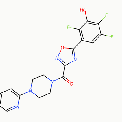 O=C(c1noc(-c2cc(F)c(F)c(O)c2F)n1)N1CCN(c2ccccn2)CC1